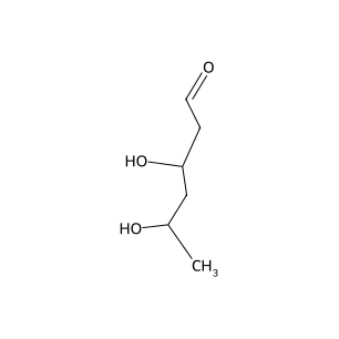 CC(O)CC(O)CC=O